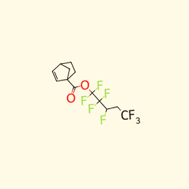 O=C(OC(F)(F)C(F)(F)C(F)CC(F)(F)F)C12C=CC(CC1)C2